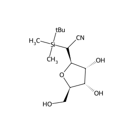 CC(C)(C)[Si](C)(C)C(C#N)[C@@H]1O[C@H](CO)[C@@H](O)[C@H]1O